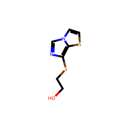 OCCSc1ncn2ccsc12